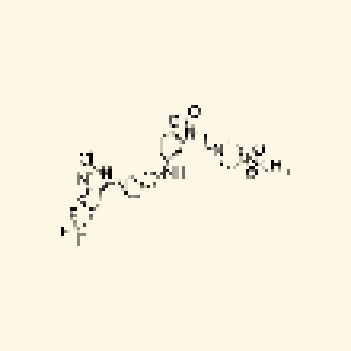 CS(=O)(=O)N1CCN(CCn2c(=O)oc3ccc(NC4CC5(CCN(c6nc(Cl)nc7sc(CC(F)(F)F)cc67)C5)C4)cc32)CC1